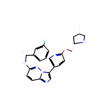 C[C@@H](Nc1ccc2ncc(-c3ccc(OC[C@@H]4C[C@H](F)CN4)nc3)n2n1)c1cccc(F)c1